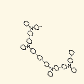 Cc1ccc(N(C2=CCC(c3ccc(N(c4ccccc4)c4ccc(-c5ccc(-c6ccc(N(c7ccccc7)c7ccc(-c8ccc(N(c9ccccc9)c9ccc(-c%10ccccc%10)cc9)cc8)cc7)cc6)cc5)cc4)cc3)C=C2)c2ccccc2)cc1